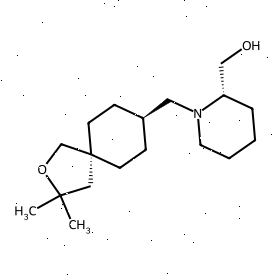 CC1(C)C[C@]2(CC[C@H](CN3CCCC[C@H]3CO)CC2)CO1